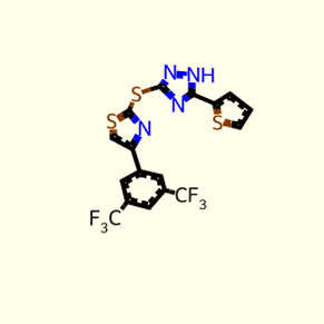 FC(F)(F)c1cc(-c2csc(Sc3n[nH]c(-c4cccs4)n3)n2)cc(C(F)(F)F)c1